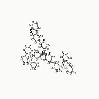 c1ccc(C2(c3ccccc3)c3ccccc3-c3cc(N(c4ccc(-c5cccc(-n6c7ccccc7c7ccccc76)c5)cc4)c4cccc(-c5ccc6sc7ccccc7c6c5)c4)ccc32)cc1